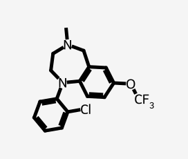 CN1CCN(c2ccccc2Cl)c2ccc(OC(F)(F)F)cc2C1